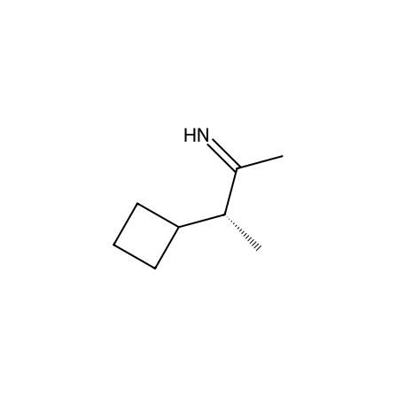 CC(=N)[C@H](C)C1CCC1